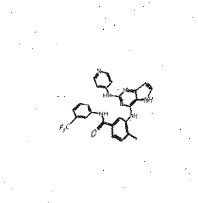 Cc1ccc(C(=O)Nc2cccc(C(F)(F)F)c2)cc1Nc1nc(Nc2ccncc2)nc2cc[nH]c12